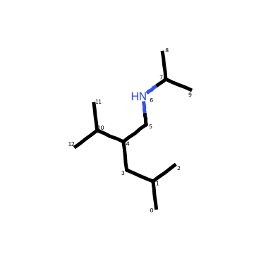 CC(C)CC(CNC(C)C)C(C)C